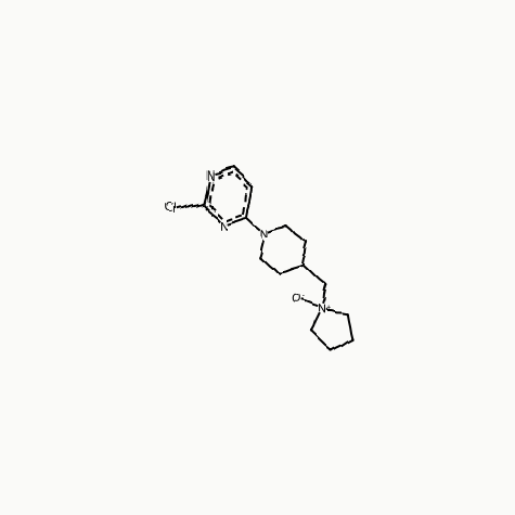 [O-][N+]1(CC2CCN(c3ccnc(Cl)n3)CC2)CCCC1